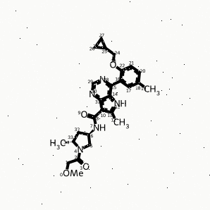 COCC(=O)N1C[C@H](NC(=O)c2c(C)[nH]c3c(-c4cc(C)ccc4OCC4CC4)ncnc23)C[C@H]1C